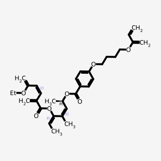 C=CC(=C)OCCCCOc1ccc(C(=O)O[C@H](C)/C=C(C)\C(=C/C)OC(=O)C(=C)/C=C\C(=C)OCC)cc1